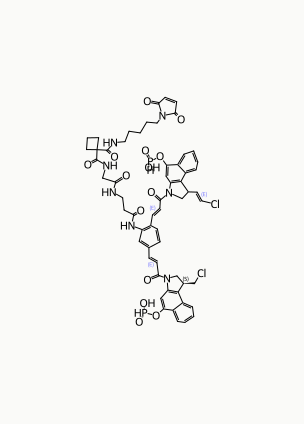 O=C(CNC(=O)C1(C(=O)NCCCCCN2C(=O)C=CC2=O)CCC1)NCCC(=O)Nc1cc(/C=C/C(=O)N2C[C@@H](CCl)c3c2cc(O[PH](=O)O)c2ccccc32)ccc1/C=C/C(=O)N1CC(/C=C/Cl)c2c1cc(O[PH](=O)O)c1ccccc21